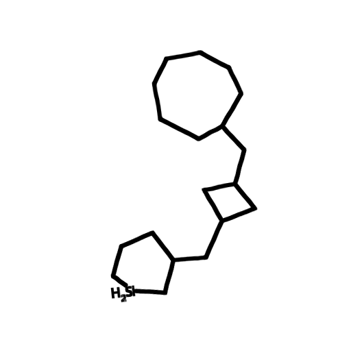 C1CCCC(CC2CC(CC3CCC[SiH2]C3)C2)CCC1